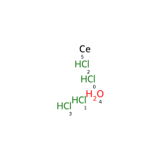 Cl.Cl.Cl.Cl.O.[Ce]